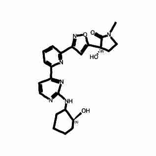 CN1CC[C@@](O)(c2cc(-c3cccc(-c4ccnc(NC5CCCC[C@@H]5O)n4)n3)no2)C1=O